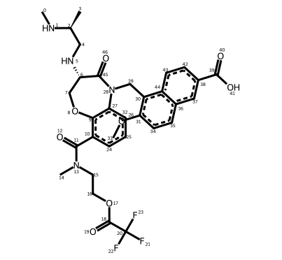 CN[C@@H](C)CN[C@H]1COc2c(C(=O)N(C)CCOC(=O)C(F)(F)F)cccc2N(Cc2c(OC)ccc3cc(C(=O)O)ccc23)C1=O